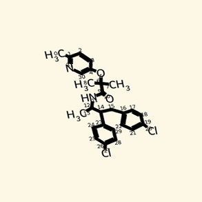 Cc1ccc(OC(C)(C)C(=O)NC(C)C(Cc2ccc(Cl)cc2)c2ccc(Cl)cc2)cn1